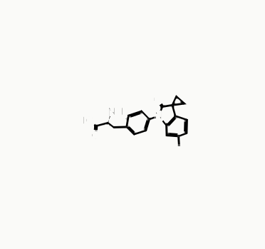 N[C@@H](Cc1ccc(N2C(=O)C3(CC3)c3ccc(F)cc32)cc1)C(=O)O